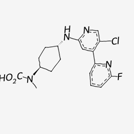 CN(C(=O)O)[C@H]1CC[C@H](Nc2cc(-c3cccc(F)n3)c(Cl)cn2)CC1